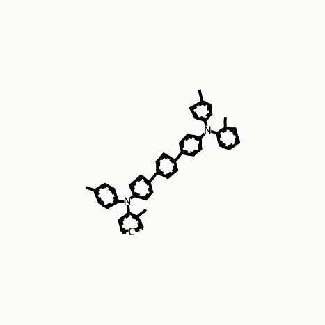 Cc1ccc(N(c2ccc(-c3ccc(-c4ccc(N(c5ccc(C)cc5)c5ccccc5C)cc4)cc3)cc2)c2ccccc2C)cc1